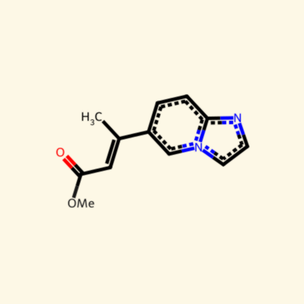 COC(=O)C=C(C)c1ccc2nccn2c1